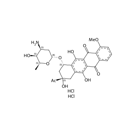 COc1cccc2c1C(=O)c1c(O)c3c(c(O)c1C2=O)C[C@@](O)(C(C)=O)C[C@@H]3O[C@H]1C[C@H](N)[C@H](O)[C@H](C)O1.Cl.Cl